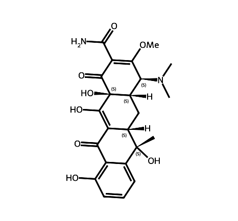 COC1=C(C(N)=O)C(=O)[C@@]2(O)C(O)=C3C(=O)c4c(O)cccc4[C@@](C)(O)[C@H]3C[C@H]2[C@@H]1N(C)C